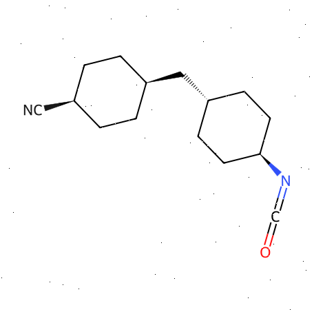 N#C[C@H]1CC[C@@H](C[C@H]2CC[C@H](N=C=O)CC2)CC1